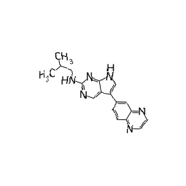 CC(C)CNc1ncc2c(-c3ccc4nccnc4c3)c[nH]c2n1